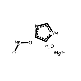 O.[Mg+2].[O-]B[O-].c1c[nH]cn1